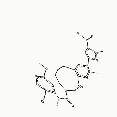 COc1cc([C@@H](C)C(=O)N2CCCCc3cc(-c4nc(C(F)F)n(C)n4)c(C)nc3NC2)c(Cl)cn1